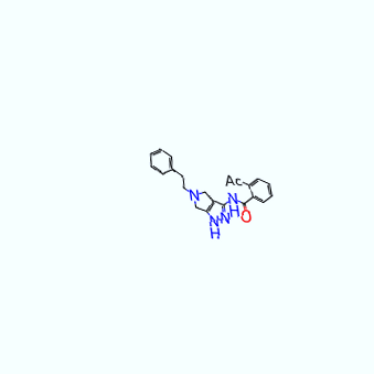 CC(=O)c1ccccc1C(=O)Nc1n[nH]c2c1CN(CCc1ccccc1)C2